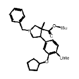 COc1ccc(C2CN(Cc3ccccc3)CC2(C)C(=O)OC(C)(C)C)cc1OC1CCCC1